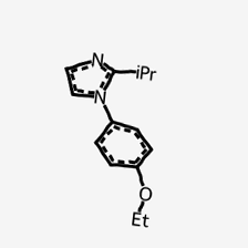 CCOc1ccc(-n2ccnc2C(C)C)cc1